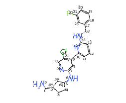 NC[C@@H]1CC[C@H](Nc2cc(-c3cccc(NCc4cccc(F)c4)n3)c(Cl)cn2)C1